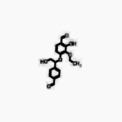 CCOc1c(OC(CO)c2ccc(C=O)cc2)ccc(C=O)c1O